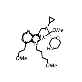 COCCCCn1cc(CN(C2CC2)C(C)(OC)[C@H]2CNCCO2)c2nccc(CCOC)c21